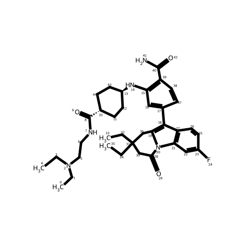 CCN(CC)CCNC(=O)[C@H]1CC[C@H](Nc2cc(-c3c4n(c5cc(F)ccc35)C(=O)CC(CC)(CC)C4)ccc2C(N)=O)CC1